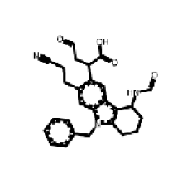 N#CCCc1cc2c(cc1C(CC=O)C(=O)O)c1c(n2Cc2ccccc2)CCCC1NC=O